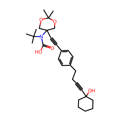 CC1(C)OCC(C#Cc2ccc(CCC#CC3(O)CCCCC3)cc2)(N(C(=O)O)C(C)(C)C)CO1